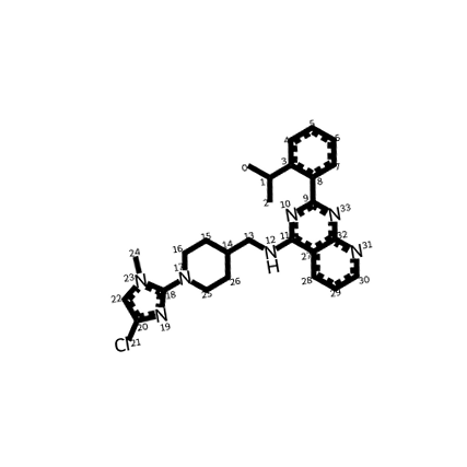 CC(C)c1ccccc1-c1nc(NCC2CCN(c3nc(Cl)cn3C)CC2)c2cccnc2n1